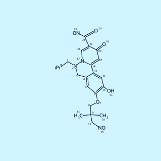 CC(C)CN1Cc2cc(OCC(C)(C)CN=O)c(O)cc2-c2cc(=O)c(C(=O)N=O)cn21